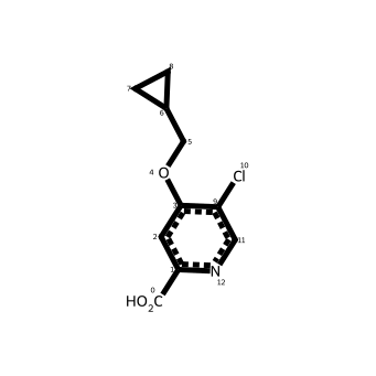 O=C(O)c1cc(OCC2CC2)c(Cl)cn1